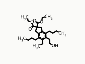 CCCCc1c(CC)c(CCO)c(CCCC)c2c1CC(C(=O)OCC)(C(=O)OCC)C2